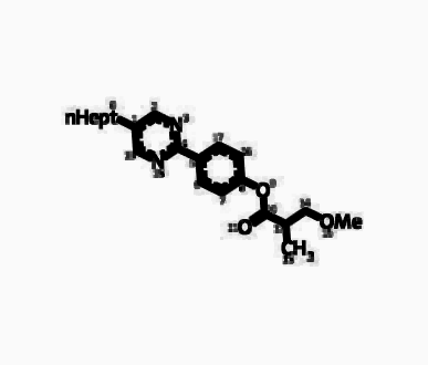 CCCCCCCc1cnc(-c2ccc(OC(=O)C(C)COC)cc2)nc1